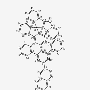 c1ccc(-c2nc(-c3ccc4ccccc4c3)nc(-c3ccccc3-c3ccc4c(c3)C3(c5ccccc5-4)c4ccccc4-c4oc5ccccc5c43)n2)cc1